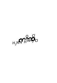 Nc1ccc(CNC(=O)[C@@H](N)Cc2ccc(Cl)cc2Cl)cn1